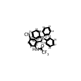 [C-]#[N+]c1ccc(NC(=O)C(F)(F)F)c(C[PH](c2ccccc2)(c2ccccc2)c2ccccc2)c1